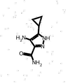 NC(=O)c1n[nH]c(C2CC2)c1N